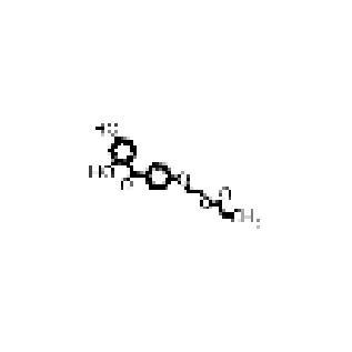 C=CC(=O)OCCOc1ccc(C(=O)c2ccc(O)cc2O)cc1